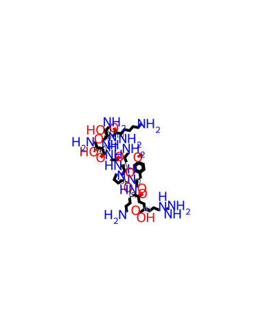 COc1ccc(C[C@H](NC(=O)[C@@H]2CCCN2C(=O)[C@@H](CCCN)NC(=O)CNC(=O)[C@@H](NC(=O)[C@@H](NC(=O)[C@@H](N)CCCCN)[C@@H](O)CN)[C@@H](O)CN)C(=O)N[C@@H](CCCCN)C(=O)CC/C(=C\CCNC(=N)N)C(=O)O)cc1